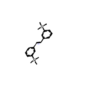 C[Si](C)(C)c1cccc(/C=C/c2cccc([Si](C)(C)C)c2)c1